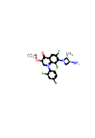 C[C@@H]1[C@@H](N)CN1c1c(F)cc2c(=O)c(OC(=O)O)cn(-c3ccc(F)cc3F)c2c1F